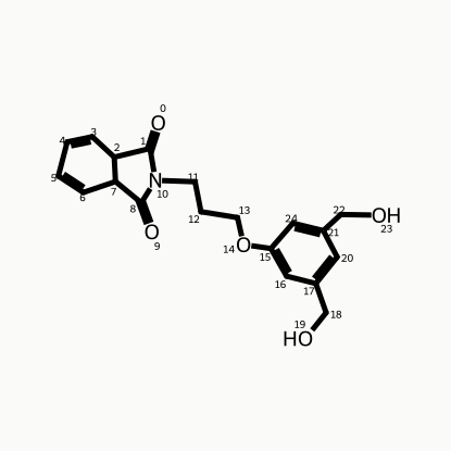 O=C1C2C=CC=CC2C(=O)N1CCCOc1cc(CO)cc(CO)c1